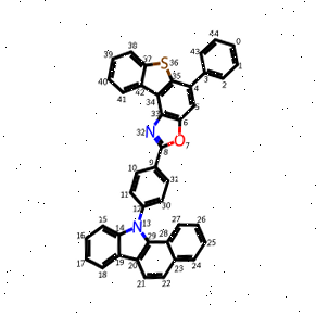 c1ccc(-c2cc3oc(-c4ccc(-n5c6ccccc6c6ccc7ccccc7c65)cc4)nc3c3c2sc2ccccc23)cc1